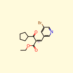 CCOC(=O)/C(=C/c1cncc(Br)c1)C(=O)C1CCCC1